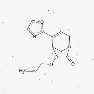 C=CCON1C(=O)N2CC=C(c3ncco3)C1C2